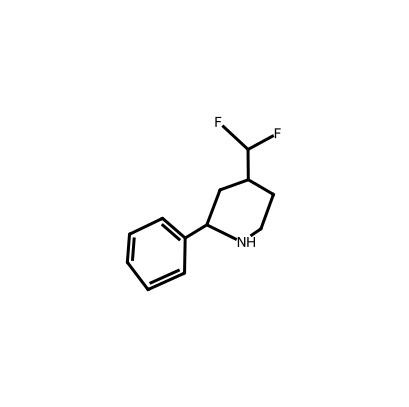 FC(F)C1CCNC(c2ccccc2)C1